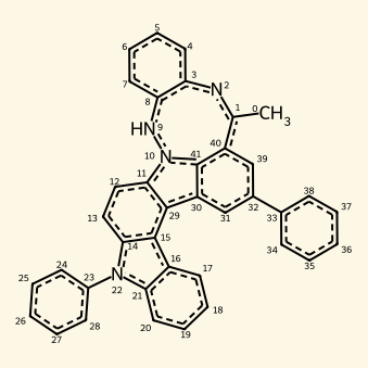 Cc1nc2ccccc2[nH]n2c3ccc4c(c5ccccc5n4-c4ccccc4)c3c3cc(-c4ccccc4)cc1c32